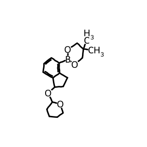 CC1(C)COB(c2cccc3c2CCC3OC2CCCCO2)OC1